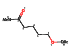 CNC(=O)CCCCOOC(C)=O